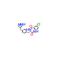 O=C1NC(Cc2ccc(Cc3cn[nH]c3)cc2)C(=O)Nc2ccc(Cl)cc21